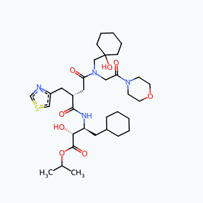 CC(C)OC(=O)[C@H](O)[C@H](CC1CCCCC1)NC(=O)[C@@H](CC(=O)N(CC(=O)N1CCOCC1)CC1(O)CCCCC1)Cc1cscn1